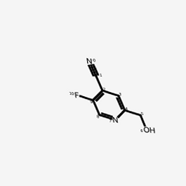 N#Cc1cc(CO)ncc1F